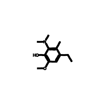 CCc1cc(OC)c(O)c(N(C)C)c1C